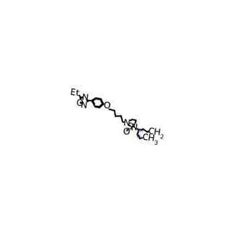 C=C/C=C(\C=C/C)N1CCN(CCCCCOc2ccc(-c3noc(CC)n3)cc2)[S+]1[O-]